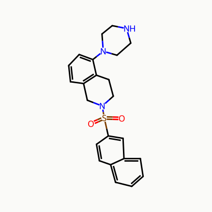 O=S(=O)(c1ccc2ccccc2c1)N1CCc2c(cccc2N2CCNCC2)C1